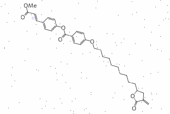 C=C1CC(CCCCCCCCCCOc2ccc(C(=O)Oc3ccc(/C=C/C(=O)OC)cc3)cc2)OC1=O